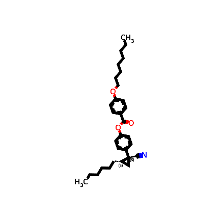 CCCCCCCCOc1ccc(C(=O)Oc2ccc([C@]3(C#N)C[C@@H]3CCCCCC)cc2)cc1